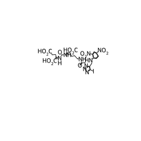 O=C(O)CC[C@@H](NC(=O)N[C@H](CCCCNC(=O)Cn1nnc(I)c1CNc1ccc([N+](=O)[O-])cc1[N+](=O)[O-])C(=O)O)C(=O)O